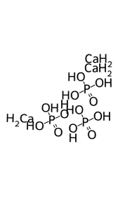 O=P(O)(O)O.O=P(O)(O)O.O=P(O)(O)O.[CaH2].[CaH2].[CaH2]